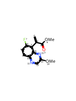 C=C(C(=O)OC)c1c(F)ccc2ncc(OC)nc12